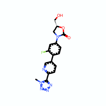 Cn1nnnc1-c1ccc(-c2ccc(N3C[C@H](CO)OC3=O)cc2F)cn1